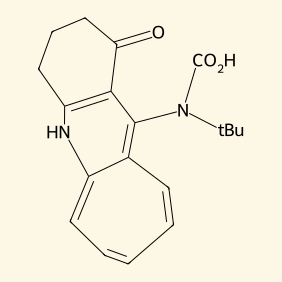 CC(C)(C)N(C(=O)O)C1=C2C=CC=CC=C2NC2=C1C(=O)CCC2